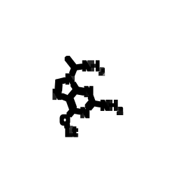 CCOc1nc(N)nc2c1ncn2C(C)N